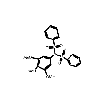 COc1cc(N(S(=O)(=O)c2ccccc2)S(=O)(=O)c2ccccc2)cc(OC)c1OC